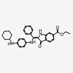 CCOC(=O)c1ccc2c(c1)NC(=C(Nc1ccc(NC3CCCCC3)cc1)c1ccccc1)C2=O